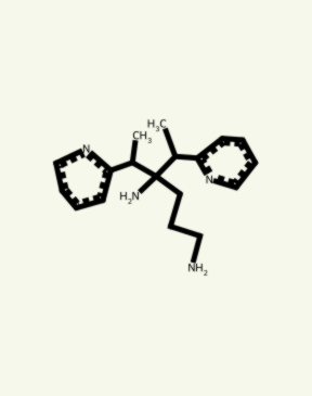 CC(c1ccccn1)C(N)(CCCN)C(C)c1ccccn1